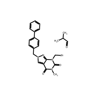 CC(C)C=O.CC(C)Cn1c(=O)n(C)c(=O)c2cn(Cc3ccc(-c4ccccc4)cc3)nc21